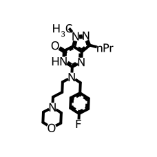 CCCc1nn(C)c2c(=O)[nH]c(N(CCCN3CCOCC3)Cc3ccc(F)cc3)nc12